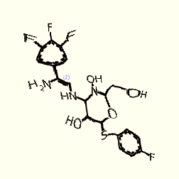 N/C(=C\NC1C(O)C(Sc2ccc(F)cc2)OC(CO)N1O)c1cc(F)c(F)c(F)c1